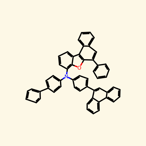 c1ccc(-c2ccc(N(c3ccc(-c4cc5ccccc5c5ccccc45)cc3)c3cccc4c3oc3c(-c5ccccc5)cc5ccccc5c34)cc2)cc1